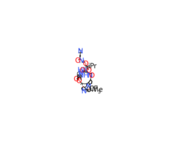 CO[C@@H](C)c1ncccc1-c1c2c3cc(ccc3n1CC(F)(F)F)-c1nc(co1)C[C@H](NC(=O)[C@@H](COC1CN(C(=O)C#CC(C)(C)N(C)C)C1)C(C)C)C(=O)N1CCC[C@H](N1)C(=O)OCC(C)(C)C2